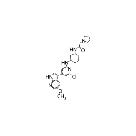 COc1cnc2[nH]cc(-c3cc(Cl)nc(NC4CCCC(NC(=O)CN5CCCC5)C4)c3)c2c1